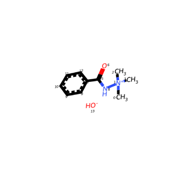 C[N+](C)(C)NC(=O)c1ccccc1.[OH-]